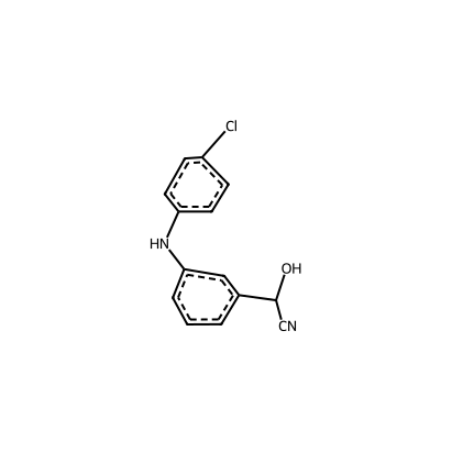 N#CC(O)c1cccc(Nc2ccc(Cl)cc2)c1